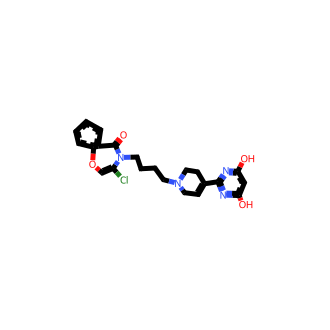 O=C1c2ccccc2OC=C(Cl)N1CCCCN1CC=C(c2nc(O)cc(O)n2)CC1